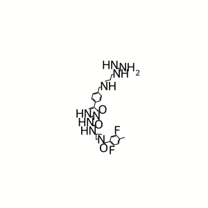 Cc1cc(F)c(C(=O)N2CC(NC(=O)Nc3nc(=O)c(-c4ccc(CNCCCNC(=N)N)cc4)c[nH]3)C2)cc1F